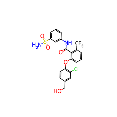 NS(=O)(=O)c1cccc(NC(=O)c2c(Oc3ccc(CO)cc3Cl)cccc2C(F)(F)F)c1